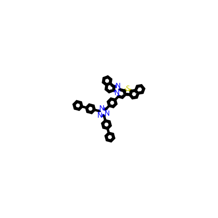 c1ccc(-c2ccc(-c3nc(-c4ccc(-c5ccccc5)cc4)nc(-c4ccc(-c5cc6c7ccc8ccccc8c7sc6c6nc7c8ccccc8ccc7n56)cc4)n3)cc2)cc1